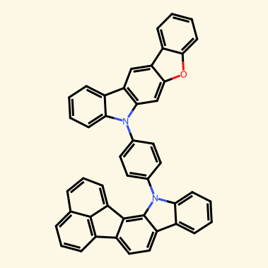 c1cc2c3c(cccc3c1)-c1c-2ccc2c3ccccc3n(-c3ccc(-n4c5ccccc5c5cc6c(cc54)oc4ccccc46)cc3)c12